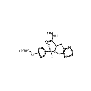 CCCCCOc1ccc(S(=O)(=O)N2Cc3nccnc3CC2C(=O)NO)cc1